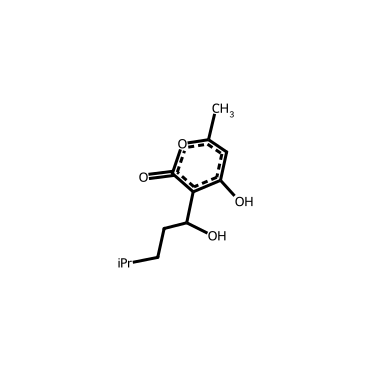 Cc1cc(O)c(C(O)CCC(C)C)c(=O)o1